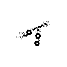 CCOC(Cc1ccc(OCCN(CCCOC(F)(F)C(F)(F)F)C(=O)Oc2ccc(Oc3ccccc3)cc2)cc1)C(=O)O